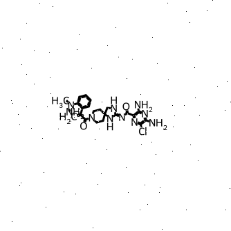 C=C(C(=O)N1CCC2(CC1)CN/C(=N\C(=O)c1nc(Cl)c(N)nc1N)N2)c1ccccc1N(C)N